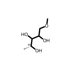 COCC(O)C(O)[C@@H](C)O